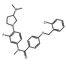 CN(C(=O)c1ccc(OCc2ccccc2Cl)cc1)c1ccc(N2CCC(N(C)C)C2)c(F)c1